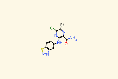 CCc1nc(C(N)=O)c(Nc2ccc3snnc3c2)nc1Cl